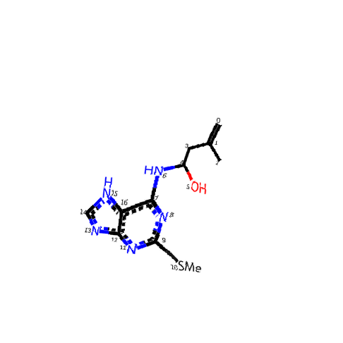 C=C(C)CC(O)Nc1nc(SC)nc2nc[nH]c12